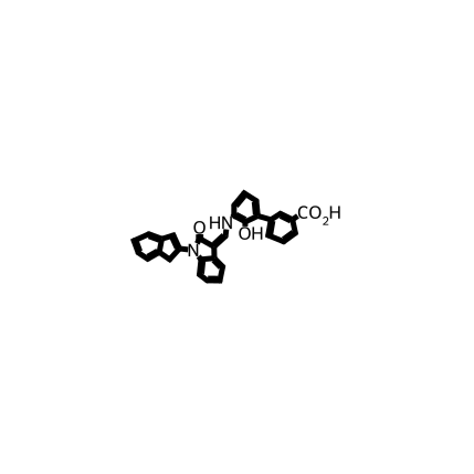 O=C(O)c1cccc(-c2cccc(N/C=C3\C(=O)N(C4=Cc5ccccc5C4)c4ccccc43)c2O)c1